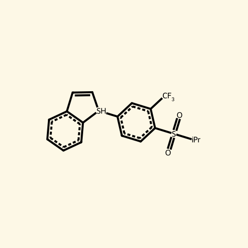 CC(C)S(=O)(=O)c1ccc([SH]2C=Cc3ccccc32)cc1C(F)(F)F